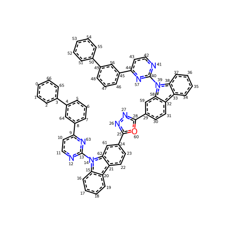 c1ccc(-c2cccc(-c3ccnc(-n4c5ccccc5c5ccc(-c6nnc(-c7ccc8c9ccccc9n(-c9nccc(-c%10cccc(-c%11ccccc%11)c%10)n9)c8c7)o6)cc54)n3)c2)cc1